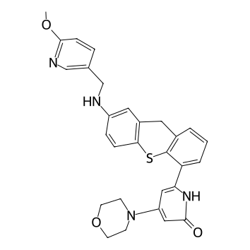 COc1ccc(CNc2ccc3c(c2)Cc2cccc(-c4cc(N5CCOCC5)cc(=O)[nH]4)c2S3)cn1